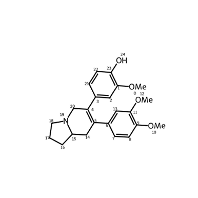 COc1cc(C2=C(c3ccc(OC)c(OC)c3)CC3CCCN3C2)ccc1O